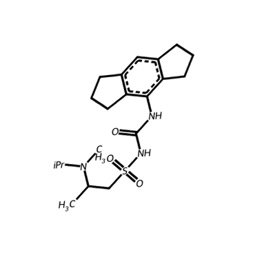 CC(C)N(C)C(C)CS(=O)(=O)NC(=O)Nc1c2c(cc3c1CCC3)CCC2